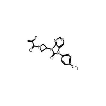 C=C(F)C(=O)N1CC(n2c(=O)n(-c3ccc(C(F)(F)F)cc3)c3cncnc32)C1